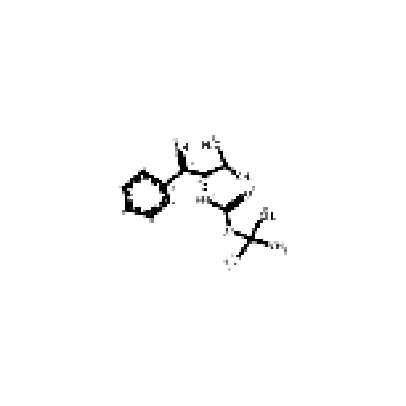 CC(C)[C@H](NC(=O)OC(C)(C)C)C(=N)c1ccccc1